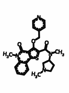 CN1CCC(N(C)C(=O)c2sc3c(c2OCc2ccncc2)c(=O)n(C)c2ccccc32)C1